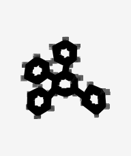 c1ccc(-c2cc(-c3cccnc3)nc(-c3ccccc3)c2-c2ccccc2)cc1